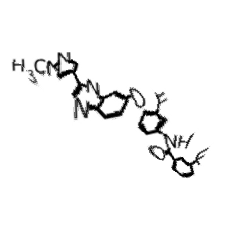 Cn1cc(-c2cnc3ccc(Oc4ccc(NC(=O)c5cccc(F)c5)cc4F)cc3n2)cn1